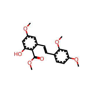 COC(=O)c1c(O)cc(OC)cc1/C=C/c1ccc(OC)cc1OC